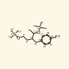 CC(O[Si](C)(C)C)C(CCO[Si](C)(C)C)Cc1ccc(F)cc1